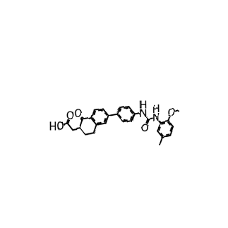 COc1ccc(C)cc1NC(=O)Nc1ccc(-c2ccc3c(c2)CCC(CC(=O)O)C3=O)cc1